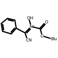 CC(C)(C)OC(=O)[N+](O)=C(C#N)c1ccccc1